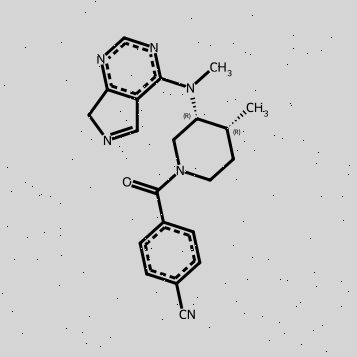 C[C@@H]1CCN(C(=O)c2ccc(C#N)cc2)C[C@@H]1N(C)c1ncnc2c1C=NC2